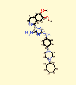 COc1cc2ccnc(-n3nc(Nc4ccc(N5CCN(C6CCCCCC6)CC5)cc4)nc3N)c2cc1OC